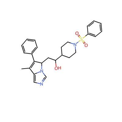 CC1=C(c2ccccc2)C(CC(O)C2CCN(S(=O)(=O)c3ccccc3)CC2)n2cncc21